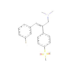 CN(C)C/C(=C/c1cccc(Br)c1)c1ccc(S(C)(=O)=O)cc1